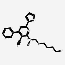 N#Cc1c(-c2ccccc2)cc(-c2cccs2)nc1[S+]([O-])CSCCCCCl